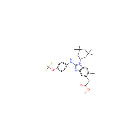 COC(=O)Cc1cc2nc(Nc3ccc(OC(F)(F)F)cc3)n(C3CC(C)(C)CC(C)(C)C3)c2cc1C